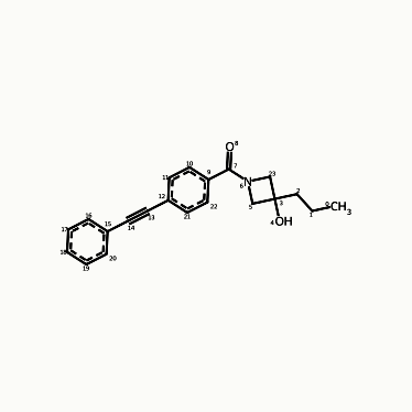 CCCC1(O)CN(C(=O)c2ccc(C#Cc3ccccc3)cc2)C1